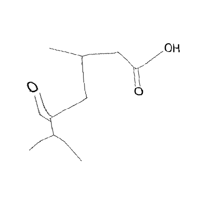 CC(CC(=O)O)CC(=O)C(C)C